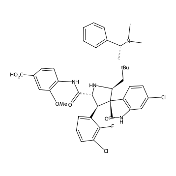 COc1cc(C(=O)O)ccc1NC(=O)[C@@H]1N[C@@H](CC(C)(C)C)[C@@]2(C(=O)Nc3cc(Cl)ccc32)[C@H]1c1cccc(Cl)c1F.C[C@H](c1ccccc1)N(C)C